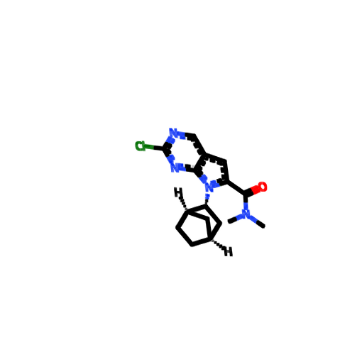 CN(C)C(=O)c1cc2cnc(Cl)nc2n1[C@@H]1C[C@H]2CC[C@@H]1C2